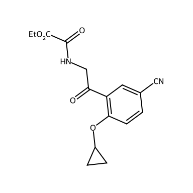 CCOC(=O)C(=O)NCC(=O)c1cc(C#N)ccc1OC1CC1